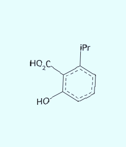 CC(C)c1cccc(O)c1C(=O)O